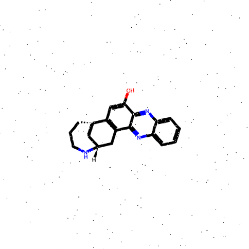 Oc1cc2c(c3nc4ccccc4nc13)C[C@@H]1NCCC[C@]23CCCCC13